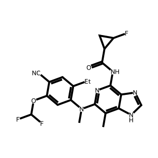 CCc1cc(C#N)c(OC(F)F)cc1N(C)c1nc(NC(=O)C2CC2F)c2nc[nH]c2c1C